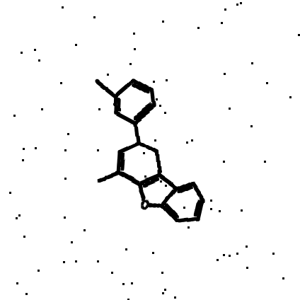 CC1=CC(c2cccc(C)c2)Cc2c1oc1ccccc21